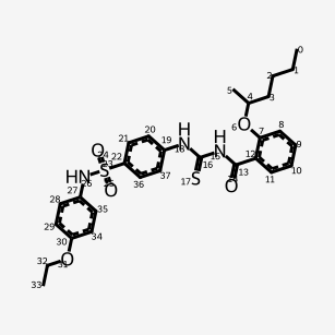 CCCCC(C)Oc1ccccc1C(=O)NC(=S)Nc1ccc(S(=O)(=O)Nc2ccc(OCC)cc2)cc1